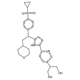 O=S(=O)(c1ccc(C(CC2CCOCC2)c2ccc(-c3ccc(C(CO)CO)cn3)[nH]2)cc1)C1CC1